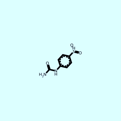 NC(=O)Nc1ccc([SH](=O)=O)cc1